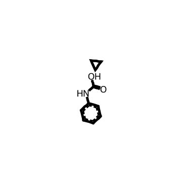 C1CC1.O=C(O)Nc1ccccc1